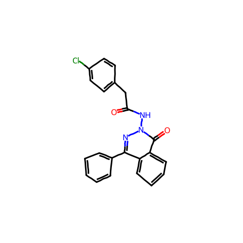 O=C(Cc1ccc(Cl)cc1)Nn1nc(-c2ccccc2)c2ccccc2c1=O